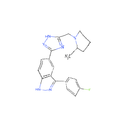 CC1CCCN1Cc1nc(-c2ccc3[nH]nc(-c4ccc(F)cc4)c3c2)n[nH]1